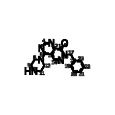 O=c1c2ncnc(N3CCNCC3)c2cnn1Cc1ccccc1